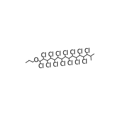 CCCOC(Cl)C(Cl)C(Cl)C(Cl)C(Cl)C(Cl)C(Cl)C(Cl)C(Cl)C(Cl)C(Cl)C(Cl)C(Cl)C(Cl)C(C)C